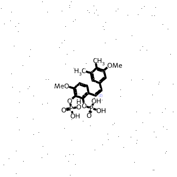 COc1cc(/C=C\c2ccc(OC)c(OP(=O)(O)O)c2OP(=O)(O)O)cc(C)c1C